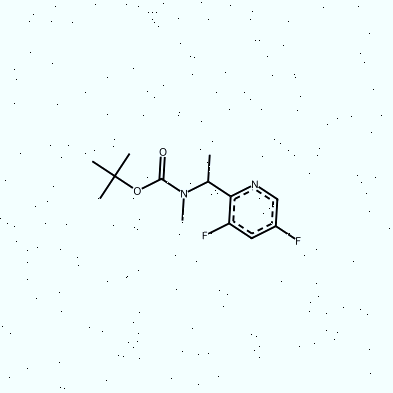 CC(c1ncc(F)cc1F)N(C)C(=O)OC(C)(C)C